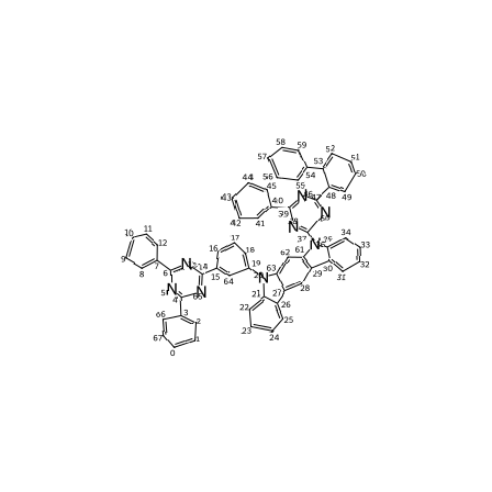 c1ccc(-c2nc(-c3ccccc3)nc(-c3cccc(-n4c5ccccc5c5cc6c7ccccc7n(-c7nc(-c8ccccc8)nc(-c8ccccc8-c8ccccc8)n7)c6cc54)c3)n2)cc1